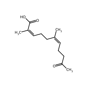 CC(=O)CCC=C(C)CCC=C(C)C(=O)O